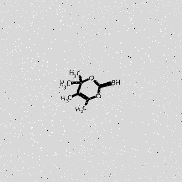 B=C1OC(C)=C(C)C(C)(C)O1